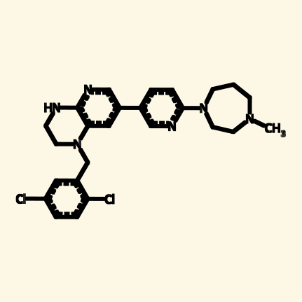 CN1CCCN(c2ccc(-c3cnc4c(c3)N(Cc3cc(Cl)ccc3Cl)CCN4)cn2)CC1